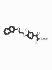 COC(=O)C(=O)c1ccc(OCCOc2ccc3ccccc3c2)c(Cl)c1